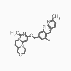 C=C1N=C(OCc2cc(F)c(Cc3ccc(C)nc3)c(P)c2)C=C2N1CCC1COCCN21